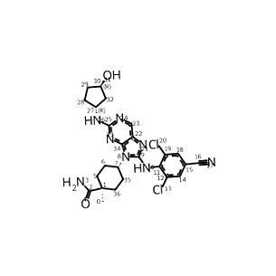 C[C@]1(C(N)=O)CC[C@H](n2c(Nc3c(Cl)cc(C#N)cc3Cl)nc3cnc(N[C@@H]4CC[C@@H](O)C4)nc32)CC1